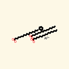 CCCCCCCCCCCCCCCCCC(=O)[O-].CCCCCCCCCCCCCCCCCC(=O)[O-].CCCCCCCCCCCCCCCCCC(=O)[O-].[Al+3].c1ccccc1